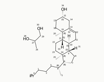 CC(C)CCC[C@@H](C)[C@H]1CC[C@H]2[C@@H]3CC=C4C[C@@H](O)CC[C@]4(C)[C@H]3CC[C@]12C.CC(O)CO